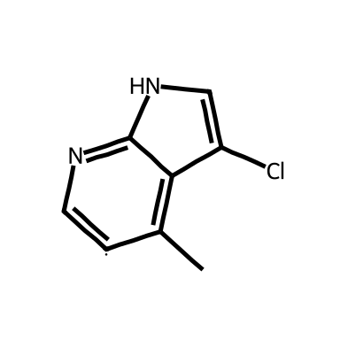 Cc1[c]cnc2[nH]cc(Cl)c12